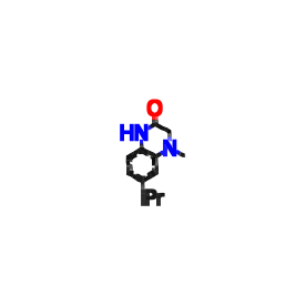 CC(C)c1ccc2c(c1)N(C)CC(=O)N2